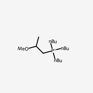 CCCC[P+](CCCC)(CCCC)CC(C)OC